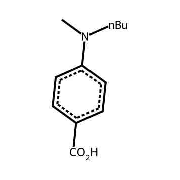 CCCCN(C)c1ccc(C(=O)O)cc1